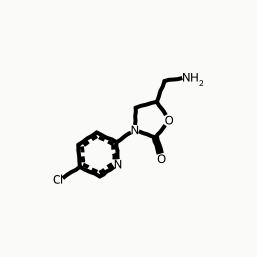 NCC1CN(c2ccc(Cl)cn2)C(=O)O1